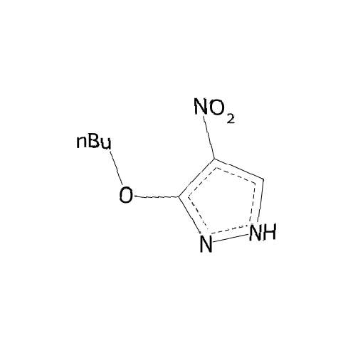 CCCCOc1n[nH]cc1[N+](=O)[O-]